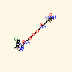 Cc1sc2c(c1C)C(c1ccc(Cl)cc1)=N[C@@H](CC(=O)NCCCOCCOCCOCCCNC(=O)CCCC[C@H]1SC[C@H]3NC(=O)N[C@H]31)c1nnc(C)n1-2